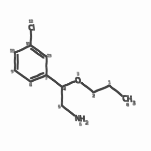 CCCOC(CN)c1cccc(Cl)c1